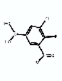 O=[N+]([O-])c1cc(B(O)O)cc(Cl)c1F